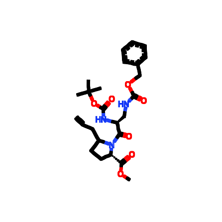 C=CCC1CC[C@@H](C(=O)OC)N1C(=O)[C@H](CNC(=O)OCc1ccccc1)NC(=O)OC(C)(C)C